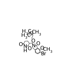 COc1c(Br)ccc2c1C(=O)N(C(OCC[Si](C)(C)C)C1CCC(=O)NC1=O)C2